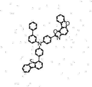 c1ccc(-c2cccc(N(c3ccc(-c4nc5ccc6oc7ccccc7c6c5o4)cc3)c3ccc(-c4cccc5c4sc4ccccc45)cc3)c2)cc1